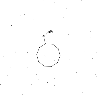 CCC[P]C1CCCCCCCCC1